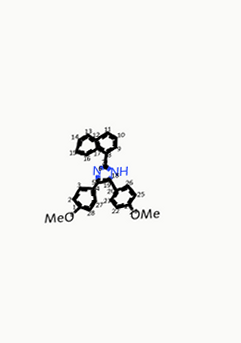 COc1ccc(-c2nc(-c3cccc4ccccc34)[nH]c2-c2ccc(OC)cc2)cc1